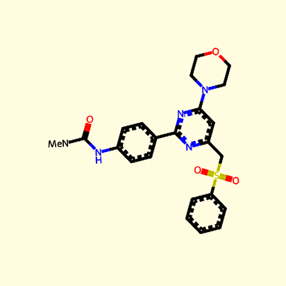 CNC(=O)Nc1ccc(-c2nc(CS(=O)(=O)c3ccccc3)cc(N3CCOCC3)n2)cc1